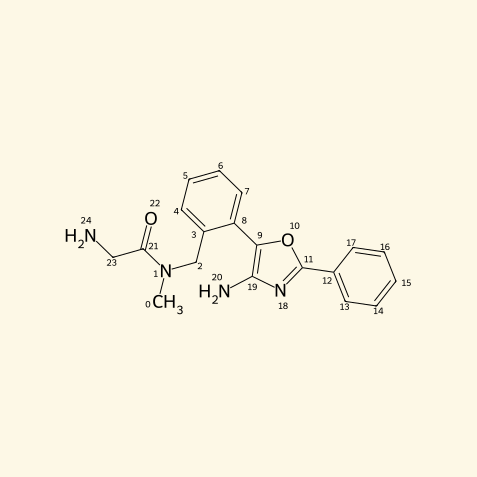 CN(Cc1ccccc1-c1oc(-c2ccccc2)nc1N)C(=O)CN